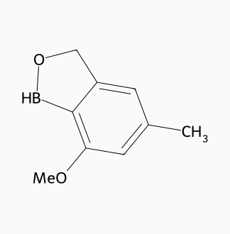 COc1cc(C)cc2c1BOC2